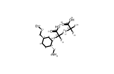 CCSC[C@H]1CC[C@H](CN)CC1.O=C(O)C(F)(F)F.O=C(O)C(F)(F)F